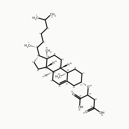 CC(C)CCC[C@@H](C)[C@H]1CC[C@H]2[C@@H]3CC=C4C[C@@H](OC(CC(=O)O)C(=O)O)CC[C@]4(C)[C@H]3CC[C@]12C